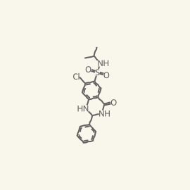 CC(C)NS(=O)(=O)c1cc2c(cc1Cl)NC(c1ccccc1)NC2=O